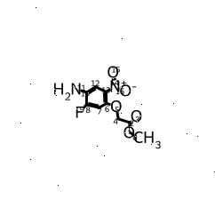 COC(=O)COc1cc(F)c(N)cc1[N+](=O)[O-]